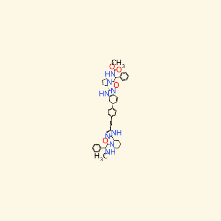 CN[C@@H](C(=O)N1CCCCC1c1ncc(C#Cc2ccc(C3C=Cc4nc([C@@H]5CCCN5C(=O)[C@H](NC(=O)OC)c5ccccc5)[nH]c4C3)cc2)[nH]1)c1ccccc1